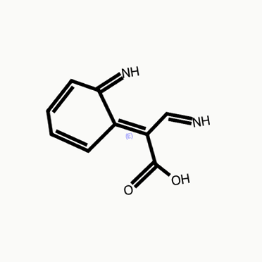 N=C/C(C(=O)O)=C1/C=CC=CC1=N